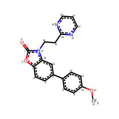 O=c1oc2ccc(-c3ccc(OC(F)(F)F)cc3)cc2n1CCc1ncccn1